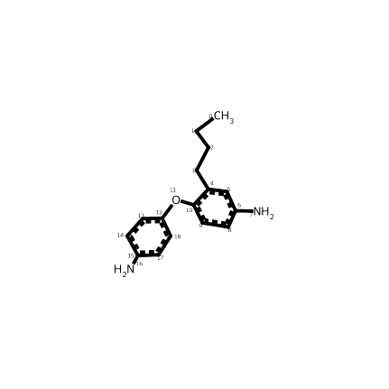 CCCCc1cc(N)ccc1Oc1ccc(N)cc1